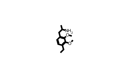 CCc1ccc(CC(C)N)c(OC)c1OC